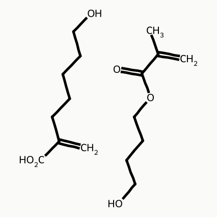 C=C(C)C(=O)OCCCCO.C=C(CCCCCO)C(=O)O